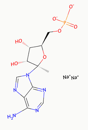 C[C@@]1(n2cnc3c(N)ncnc32)O[C@H](COP(=O)([O-])[O-])[C@@H](O)[C@H]1O.[Na+].[Na+]